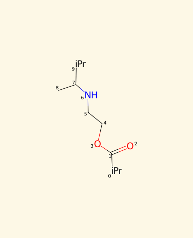 CC(C)C(=O)OCCNC(C)C(C)C